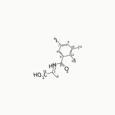 CC(NC(=O)c1cc(I)cc(I)c1I)C(=O)O